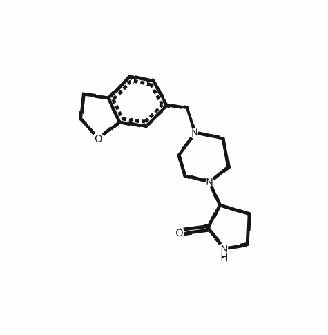 O=C1NCCC1N1CCN(Cc2ccc3c(c2)OCC3)CC1